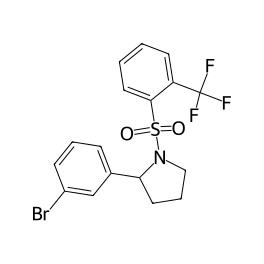 O=S(=O)(c1ccccc1C(F)(F)F)N1CCCC1c1cccc(Br)c1